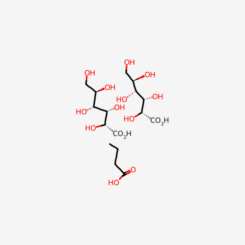 CCCC(=O)O.O=C(O)[C@H](O)[C@@H](O)[C@H](O)[C@H](O)CO.O=C(O)[C@H](O)[C@@H](O)[C@H](O)[C@H](O)CO